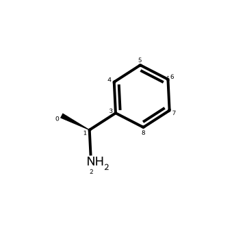 C[C@H](N)c1cc[c]cc1